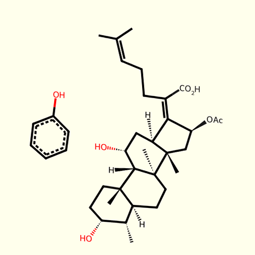 CC(=O)O[C@H]1C[C@@]2(C)[C@@H](C[C@@H](O)[C@H]3[C@@]4(C)CC[C@@H](O)[C@@H](C)[C@@H]4CC[C@@]32C)/C1=C(\CCC=C(C)C)C(=O)O.Oc1ccccc1